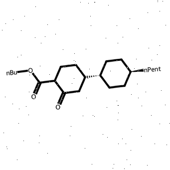 CCCCC[C@H]1CC[C@H](C2CCC(C(=O)OCCCC)C(=O)C2)CC1